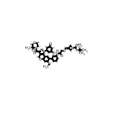 COc1cc2c(cc1-c1cccc(NC(=O)CON=C3CN(C(=O)OC(C)(C)C)C3)c1)-c1c(c(C(=O)N3CCOCC3(C)C)nn1-c1cc(Cl)cc(Cl)c1)CO2